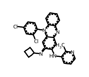 Cc1ncccc1Nc1cc2nc3ccccc3n(-c3ccc(Cl)cc3Cl)c-2c/c1=N\C1CCC1